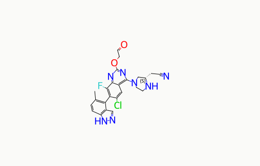 Cc1ccc2[nH]ncc2c1-c1c(Cl)cc2c(N3CCN[C@@H](CC#N)C3)nc(OCC=O)nc2c1F